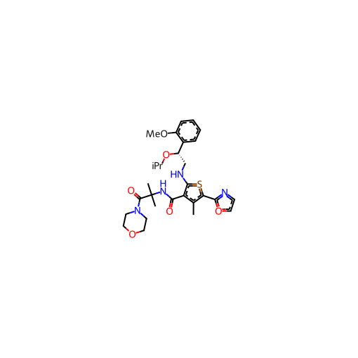 COc1ccccc1[C@H](CNc1sc(-c2ncco2)c(C)c1C(=O)NC(C)(C)C(=O)N1CCOCC1)OC(C)C